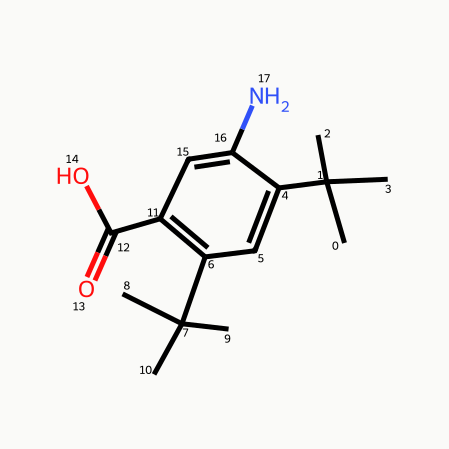 CC(C)(C)c1cc(C(C)(C)C)c(C(=O)O)cc1N